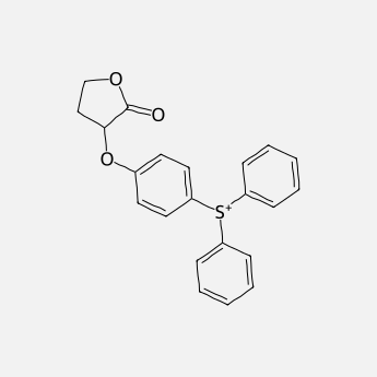 O=C1OCCC1Oc1ccc([S+](c2ccccc2)c2ccccc2)cc1